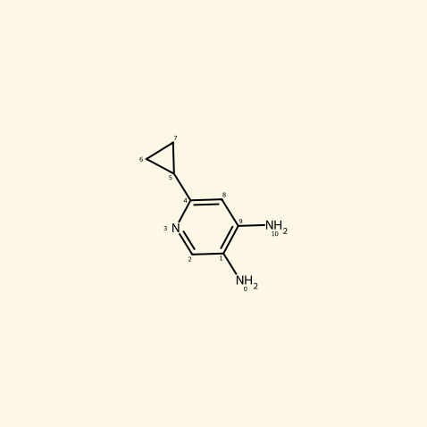 Nc1cnc(C2CC2)cc1N